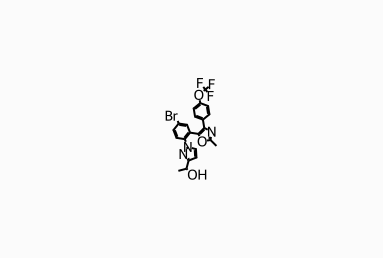 Cc1nc(-c2ccc(OC(F)(F)F)cc2)c(-c2cc(Br)ccc2-n2ccc(C(C)O)n2)o1